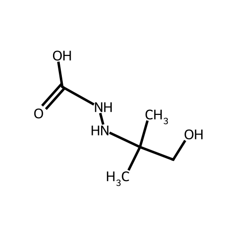 CC(C)(CO)NNC(=O)O